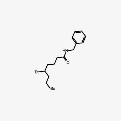 CCC(C)CCC(CC)CCCC(=O)NCc1ccccc1